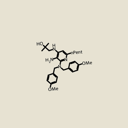 CCCCCc1cc(NCC(C)(C)O)c(N)c(N(Cc2ccc(OC)cc2)Cc2ccc(OC)cc2)n1